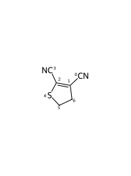 N#CC1=C(C#N)SCC1